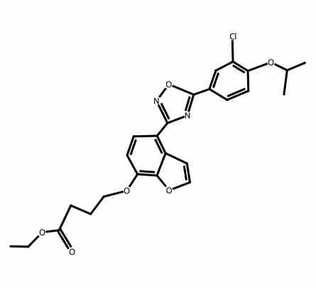 CCOC(=O)CCCOc1ccc(-c2noc(-c3ccc(OC(C)C)c(Cl)c3)n2)c2ccoc12